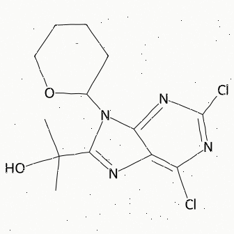 CC(C)(O)c1nc2c(Cl)nc(Cl)nc2n1C1CCCCO1